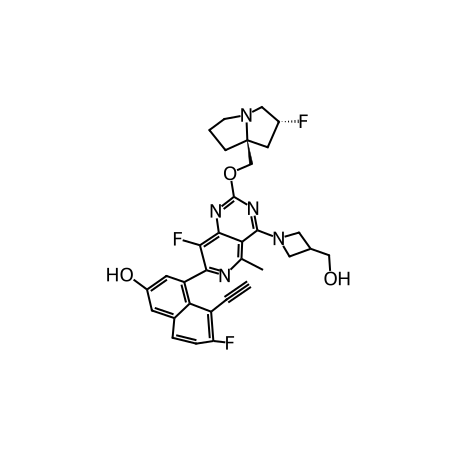 C#Cc1c(F)ccc2cc(O)cc(-c3nc(C)c4c(N5CC(CO)C5)nc(OC[C@@]56CCCN5C[C@H](F)C6)nc4c3F)c12